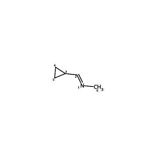 CN=CC1CC1